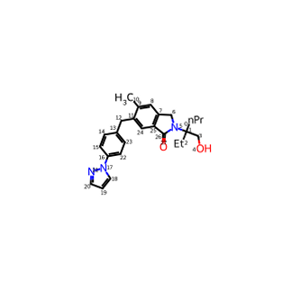 CCCC(CC)(CO)N1Cc2cc(C)c(Cc3ccc(-n4cccn4)cc3)cc2C1=O